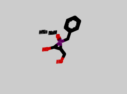 O=P1(Cc2ccccc2)C(O)C1CO.[NaH].[NaH]